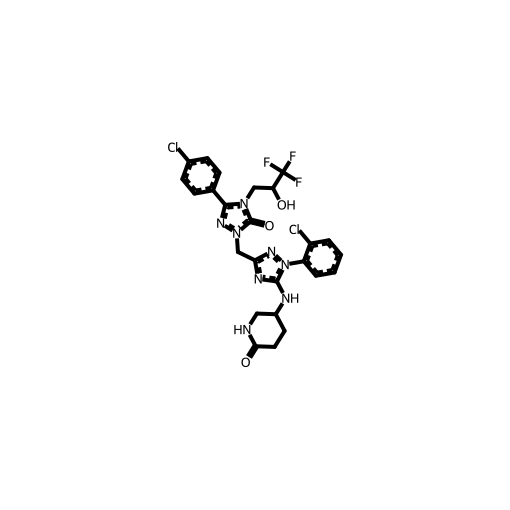 O=C1CCC(Nc2nc(Cn3nc(-c4ccc(Cl)cc4)n(CC(O)C(F)(F)F)c3=O)nn2-c2ccccc2Cl)CN1